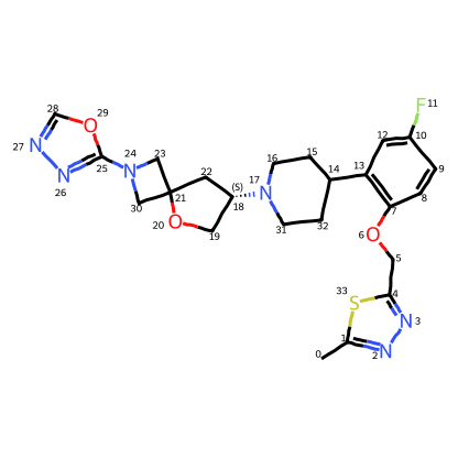 Cc1nnc(COc2ccc(F)cc2C2CCN([C@@H]3COC4(C3)CN(c3nnco3)C4)CC2)s1